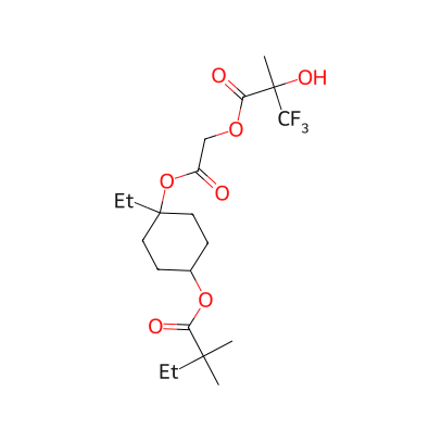 CCC1(OC(=O)COC(=O)C(C)(O)C(F)(F)F)CCC(OC(=O)C(C)(C)CC)CC1